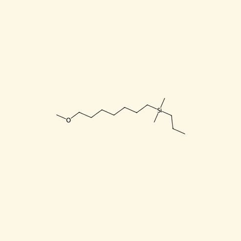 CCC[Si](C)(C)CCCCCCCOC